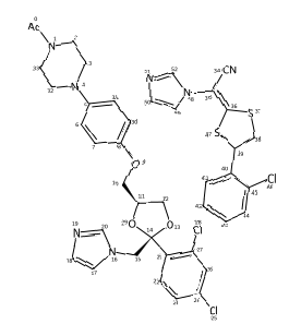 CC(=O)N1CCN(c2ccc(OC[C@H]3CO[C@](Cn4ccnc4)(c4ccc(Cl)cc4Cl)O3)cc2)CC1.N#C/C(=C1\SCC(c2ccccc2Cl)S1)n1ccnc1